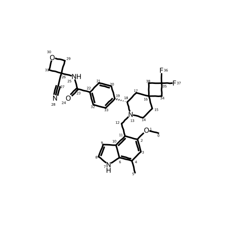 COc1cc(C)c2[nH]ccc2c1CN1CCC2(C[C@H]1c1ccc(C(=O)NC3(C#N)COC3)cc1)CC(F)(F)C2